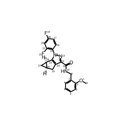 COc1ccccc1CNC(=O)c1nn(-c2ccc(F)cc2F)c2c1C[C@H]1C[C@@H]21